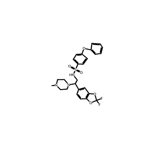 CN1CCN(C(CNS(=O)(=O)c2ccc(Oc3ccccc3)cc2)c2ccc3c(c2)OC(F)(F)O3)CC1